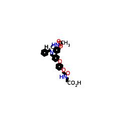 Cc1c(NS(C)(=O)=O)cccc1N(Cc1ccccc1)Cc1ccc(Oc2cccc(OCC(=O)NCCC(=O)O)c2)cc1